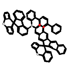 c1ccc(-c2ccc(-c3ccccc3N(c3ccc4cc5c(cc4c3)C3(c4ccccc4Oc4ccccc43)c3cc4ccccc4cc3-5)c3cccc4c3-c3ccccc3C43c4ccccc4Oc4ccccc43)cc2)cc1